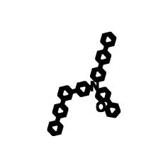 c1ccc(-c2ccc(-c3ccc(N(c4ccc(-c5cccc(-c6ccc(-c7ccccc7)cc6)c5)cc4)c4ccc5c(c4)oc4ccccc45)cc3)cc2)cc1